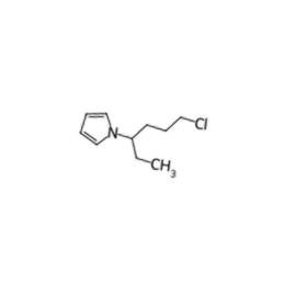 CCC(CCCCl)n1cccc1